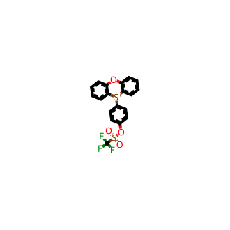 O=S(=O)(Oc1ccc([S+]2c3ccccc3Oc3ccccc32)cc1)C(F)(F)F